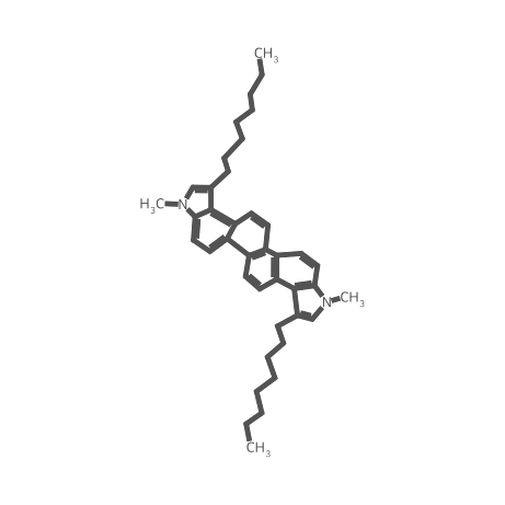 CCCCCCCCc1cn(C)c2ccc3c4ccc5c(ccc6c5c(CCCCCCCC)cn6C)c4ccc3c12